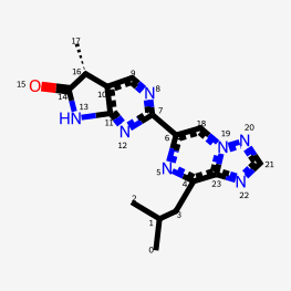 CC(C)Cc1nc(-c2ncc3c(n2)NC(=O)[C@@H]3C)cn2ncnc12